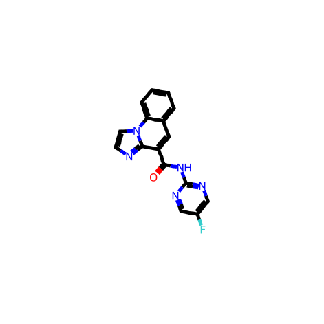 O=C(Nc1ncc(F)cn1)c1cc2ccccc2n2ccnc12